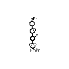 CCCC1CCC(C2CCC(c3ccc(C4OCC(F)(CCC)CO4)cc3F)CO2)CC1